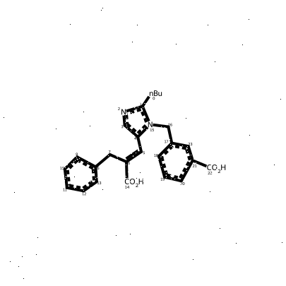 CCCCc1ncc(/C=C(\Cc2ccccc2)C(=O)O)n1Cc1cccc(C(=O)O)c1